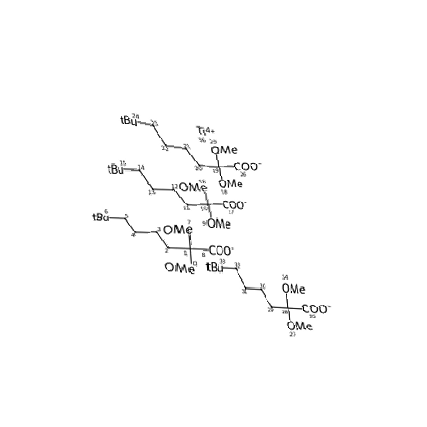 COC(CCCCC(C)(C)C)(OC)C(=O)[O-].COC(CCCCC(C)(C)C)(OC)C(=O)[O-].COC(CCCCC(C)(C)C)(OC)C(=O)[O-].COC(CCCCC(C)(C)C)(OC)C(=O)[O-].[Ti+4]